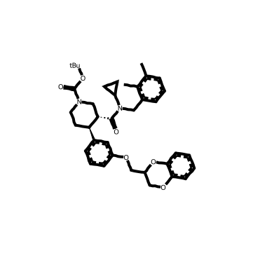 Cc1cccc(CN(C(=O)[C@H]2CN(C(=O)OC(C)(C)C)CC[C@@H]2c2cccc(OCC3COc4ccccc4O3)c2)C2CC2)c1C